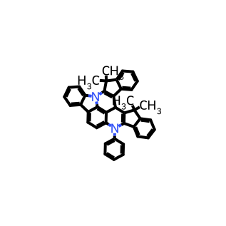 CC1(C)C2=C(c3ccccc31)N(c1ccccc1)c1ccc3c4ccccc4n4c3c1C2C1=C4C(C)(C)c2ccccc21